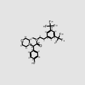 CN(CCc1cc(C(F)(F)F)cc(C(F)(F)F)c1)C(=O)C(c1ccc(F)cc1)N1CCOCC1